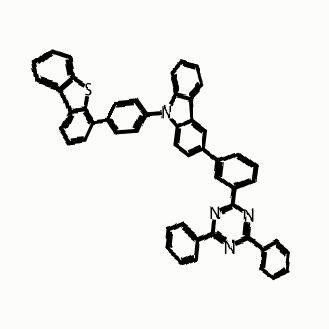 c1ccc(-c2nc(-c3ccccc3)nc(-c3cccc(-c4ccc5c(c4)c4ccccc4n5-c4ccc(-c5cccc6c5sc5ccccc56)cc4)c3)n2)cc1